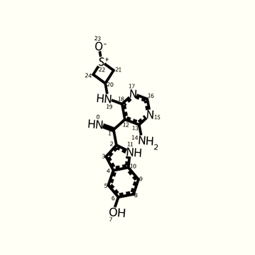 N=C(c1cc2cc(O)ccc2[nH]1)c1c(N)ncnc1NC1C[S+]([O-])C1